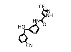 N#Cc1cccc(C(O)c2cccc(NC(=O)c3cc(C(F)(F)F)n[nH]3)c2)c1